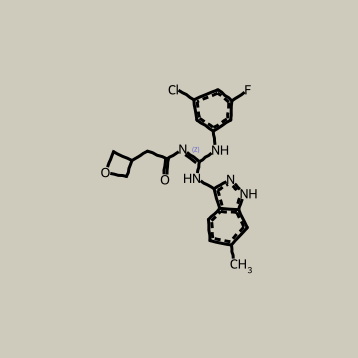 Cc1ccc2c(N/C(=N\C(=O)CC3COC3)Nc3cc(F)cc(Cl)c3)n[nH]c2c1